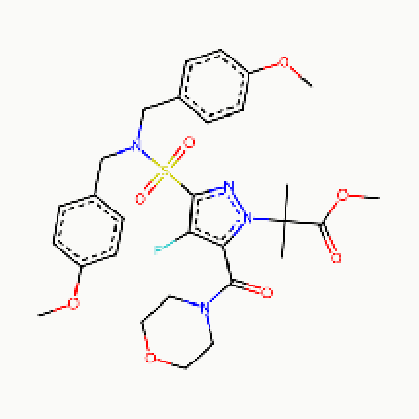 COC(=O)C(C)(C)n1nc(S(=O)(=O)N(Cc2ccc(OC)cc2)Cc2ccc(OC)cc2)c(F)c1C(=O)N1CCOCC1